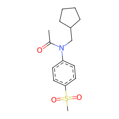 CC(=O)N(CC1CCCC1)c1ccc(S(C)(=O)=O)cc1